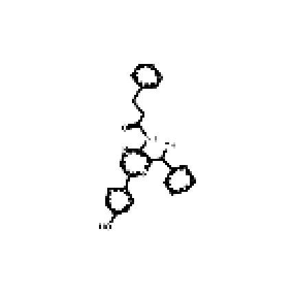 O=C(CCc1ccccc1)Nc1ncc(-c2ccc(O)cc2)nc1C(O)c1ccccc1